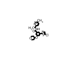 Cc1ccc(C(C)NC(=O)c2cc(OC3CCOCC3)cc(-c3ncc(Cl)s3)c2)nn1